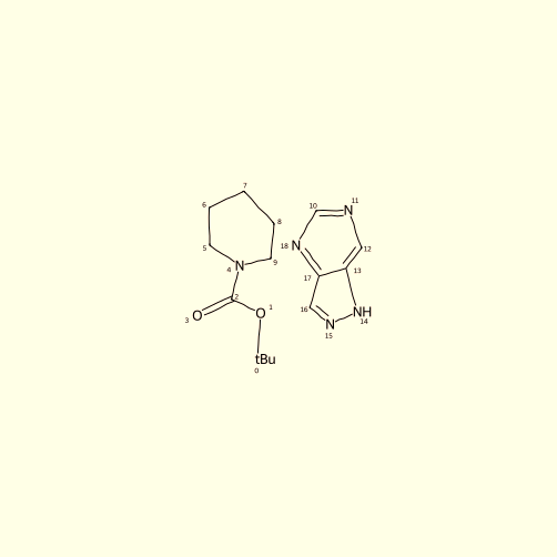 CC(C)(C)OC(=O)N1CCCCC1.c1ncc2[nH]ncc2n1